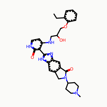 CCc1ccccc1OCC(O)CNc1cc[nH]c(=O)c1-c1nc2cc3c(cc2[nH]1)CN(C1CCN(C)CC1)C3=O